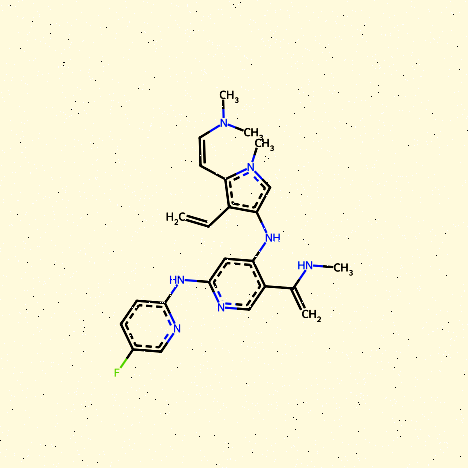 C=Cc1c(Nc2cc(Nc3ccc(F)cn3)ncc2C(=C)NC)cn(C)c1/C=C\N(C)C